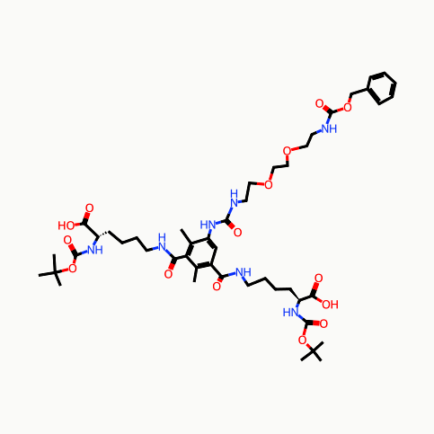 Cc1c(NC(=O)NCCOCCOCCNC(=O)OCc2ccccc2)cc(C(=O)NCCCC[C@H](NC(=O)OC(C)(C)C)C(=O)O)c(C)c1C(=O)NCCCC[C@H](NC(=O)OC(C)(C)C)C(=O)O